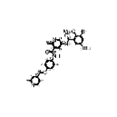 COc1c(Br)cc(C(C)(C)C)cc1C(=O)Nc1cnc(C)c(C(=O)Nc2ccc(OCc3ccncc3)cc2)c1